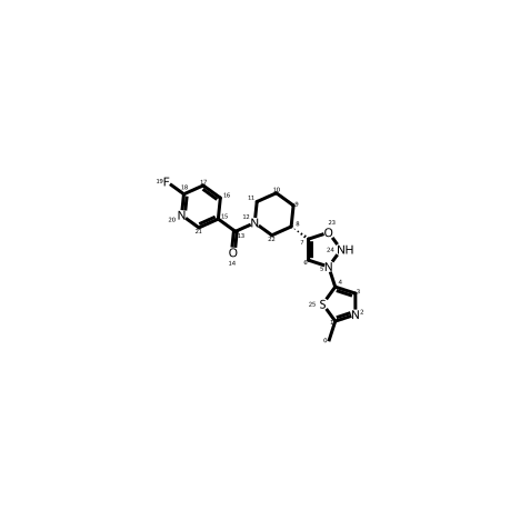 Cc1ncc(N2C=C([C@H]3CCCN(C(=O)c4ccc(F)nc4)C3)ON2)s1